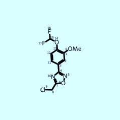 COc1cc(-c2noc(CCl)n2)ccc1OC(F)F